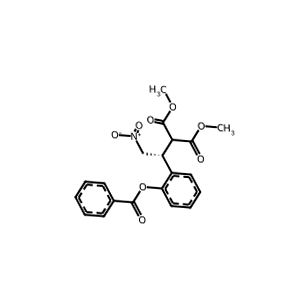 COC(=O)C(C(=O)OC)[C@@H](C[N+](=O)[O-])c1ccccc1OC(=O)c1ccccc1